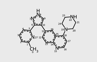 Cc1cccc(-c2n[nH]cc2-c2ccc3nccc(N4CCNCC4)c3c2)n1